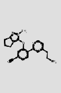 Cn1nc2c(c1Oc1cc(C#N)ccc1-c1cc(CCN)ccn1)CCC2